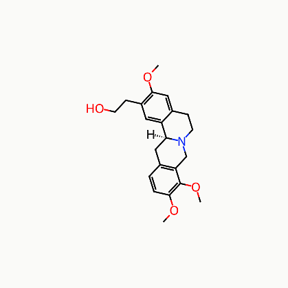 COc1cc2c(cc1CCO)[C@@H]1Cc3ccc(OC)c(OC)c3CN1CC2